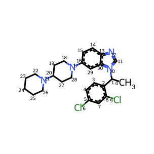 CC(c1ccc(Cl)cc1Cl)n1cnc2ccc(N3CCC(N4CCCCC4)CC3)cc21